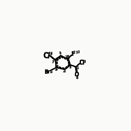 O=C(Cl)c1cc(Br)c(Cl)cc1F